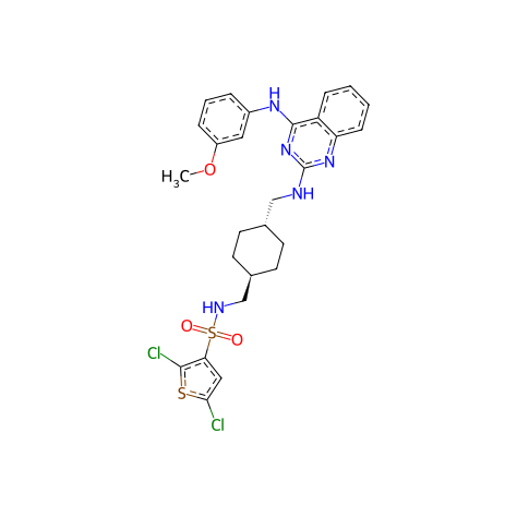 COc1cccc(Nc2nc(NC[C@H]3CC[C@H](CNS(=O)(=O)c4cc(Cl)sc4Cl)CC3)nc3ccccc23)c1